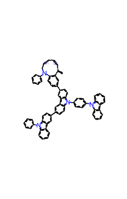 C=C1/C=C\C=C/CN(c2ccccc2)c2ccc(-c3ccc4c(c3)c3cc(-c5ccc6c(c5)c5ccccc5n6-c5ccccc5)ccc3n4-c3ccc(-n4c5ccccc5c5ccccc54)cc3)cc21